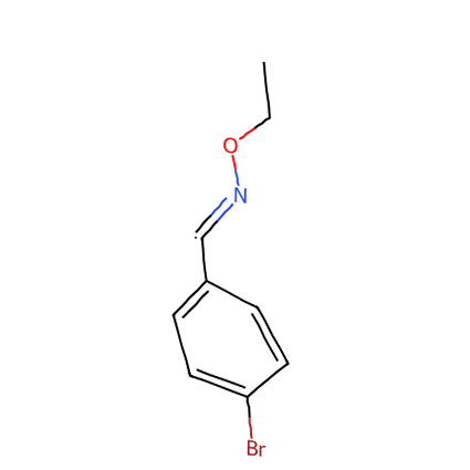 CCO/N=[C]/c1ccc(Br)cc1